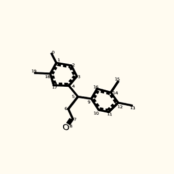 Cc1ccc(C(CC=O)c2ccc(C)c(C)c2)cc1C